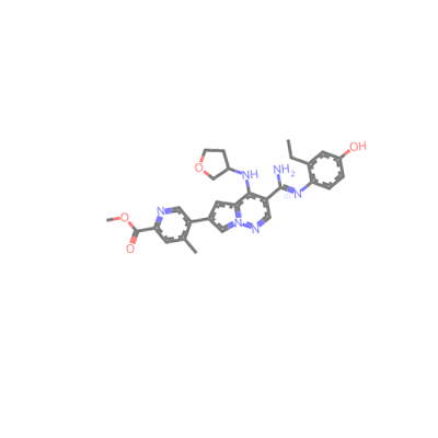 CCc1cc(O)ccc1/N=C(\N)c1cnn2cc(-c3cnc(C(=O)OC)cc3C)cc2c1NC1CCOC1